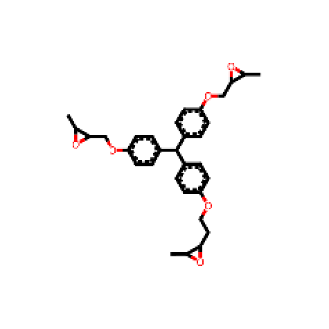 CC1OC1CCOc1ccc(C(c2ccc(OCC3OC3C)cc2)c2ccc(OCC3OC3C)cc2)cc1